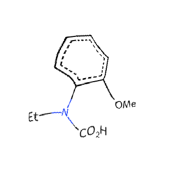 CCN(C(=O)O)c1ccccc1OC